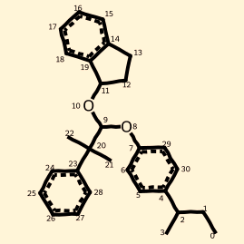 CCC(C)c1ccc(OC(OC2CCc3ccccc32)C(C)(C)c2ccccc2)cc1